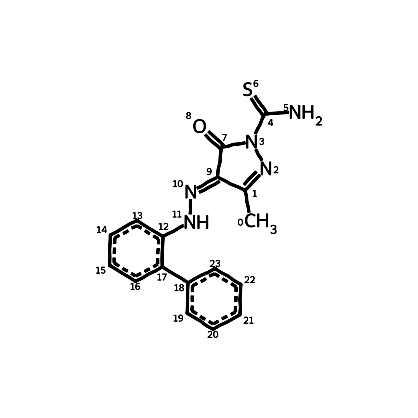 CC1=NN(C(N)=S)C(=O)C1=NNc1ccccc1-c1ccccc1